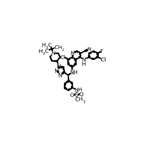 CC(C)(C)N1CCC(n2cc(C(Nc3cc(Cl)c4ncc(C#N)c(Nc5ccc(F)c(Cl)c5)c4c3)c3cccc(NS(C)(=O)=O)c3)nn2)CC1